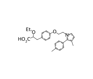 CCOC(Cc1ccc(OCCn2ccc(C)c2-c2ccc(C)cc2)cc1)C(=O)O